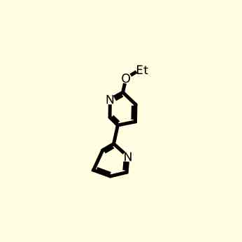 CCOc1ccc(-c2ccccn2)cn1